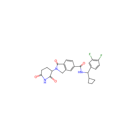 O=C1CCC(N2Cc3cc(C(=O)NC(c4ccc(F)c(F)c4)C4CCC4)ccc3C2=O)C(=O)N1